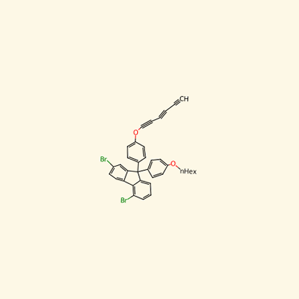 C#CC#CC#COc1ccc(C2(c3ccc(OCCCCCC)cc3)c3cc(Br)ccc3-c3c(Br)cccc32)cc1